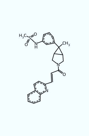 CC1(c2cccc(NS(C)(=O)=O)c2)C2CN(C(=O)/C=C/c3ccc4ccccc4n3)CC21